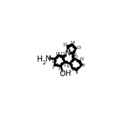 Nc1cc(O)c2c3ccccc3c3cccn3c2c1